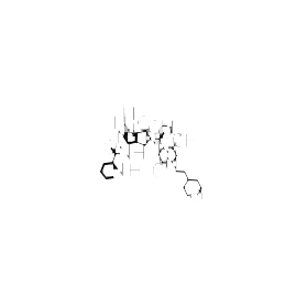 C[C@@H]1CN(C(=O)N2Cc3c(NC(=O)c4ccccn4)n[nH]c3C2(C)C)[C@@H](C)CN1CCC1CCOCC1